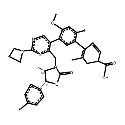 COc1cc(F)c(C2=C(C)CC(C(=O)O)C=C2)cc1-c1cnc(N2CCC2)nc1CN1C(=O)O[C@H](c2ccc(F)cc2)[C@@H]1C